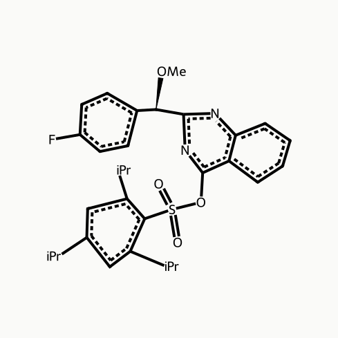 CO[C@H](c1ccc(F)cc1)c1nc(OS(=O)(=O)c2c(C(C)C)cc(C(C)C)cc2C(C)C)c2ccccc2n1